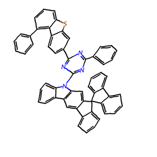 c1ccc(-c2nc(-c3ccc4c(c3)sc3cccc(-c5ccccc5)c34)nc(-n3c4ccccc4c4cc5c(cc43)C3(c4ccccc4-c4ccccc43)c3ccccc3-5)n2)cc1